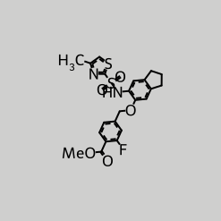 COC(=O)c1ccc(COc2cc3c(cc2NS(=O)(=O)c2nc(C)cs2)CCC3)cc1F